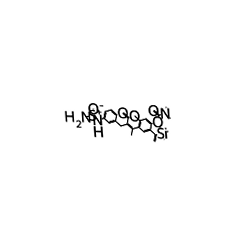 C=C(c1cc2c(C)c(Cc3cccc(N[S+](N)[O-])c3)c(=O)oc2cc1OC(=O)N(C)C)[Si](C)(C)C